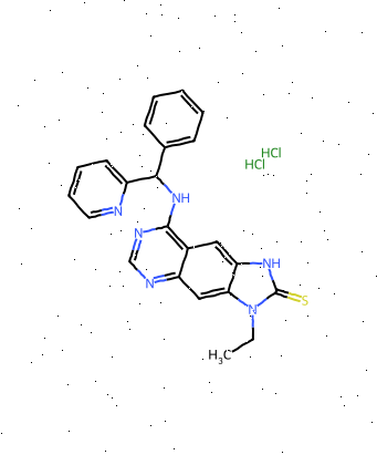 CCn1c(=S)[nH]c2cc3c(NC(c4ccccc4)c4ccccn4)ncnc3cc21.Cl.Cl